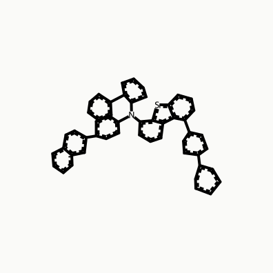 c1ccc(-c2ccc(-c3cccc4sc5c(N(c6ccc(-c7ccc8ccccc8c7)cc6)c6ccccc6-c6ccccc6)cccc5c34)cc2)cc1